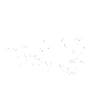 CN[C@@H](C)C(=O)N[C@H](C(=O)N1CCN(C(=O)[C@@H]2CC[C@H](C(=O)N3CCN(C(=O)[C@@H](NC(=O)[C@H](C)NC)C(C)(C)C)[C@H](C(=O)N[C@@H]4CCCc5ccccc54)C3)C2)C[C@H]1C(=O)N[C@@H]1CCCc2ccccc21)C(C)(C)C